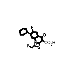 O=C(O)c1c2n(c3cc(-c4ccccc4)c(F)cc3c1=O)C(CF)S2